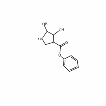 O=C(Oc1ccccc1)C1CNC(O)C1O